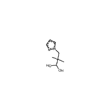 CC(C)(Cn1cccn1)C(O)O